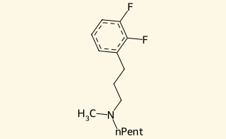 CCCCCN(C)CCCc1cccc(F)c1F